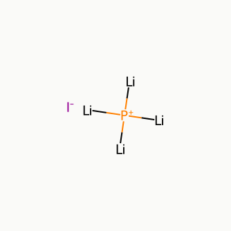 [I-].[Li][P+]([Li])([Li])[Li]